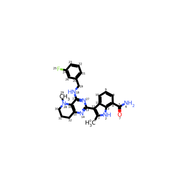 Cc1[nH]c2c(C(N)=O)cccc2c1-c1nc2c(c(NCc3cccc(F)c3)n1)N(C)CCC2